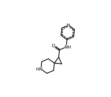 O=C(Nc1ccncc1)C1CC12CCNCC2